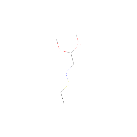 CCSNCC(OC)OC